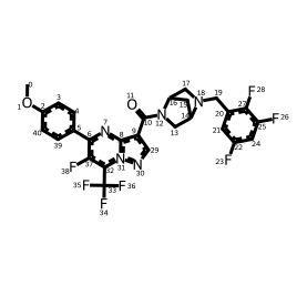 COc1ccc(-c2nc3c(C(=O)N4CC5CC4CN5Cc4cc(F)cc(F)c4F)cnn3c(C(F)(F)F)c2F)cc1